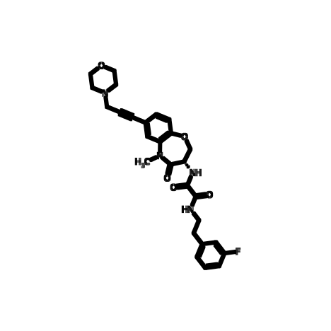 CN1C(=O)[C@@H](NC(=O)C(=O)NCCc2cccc(F)c2)COc2ccc(C#CCN3CCOCC3)cc21